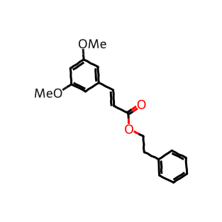 COc1cc(/C=C/C(=O)OCCc2ccccc2)cc(OC)c1